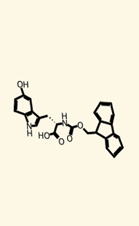 O=C(N[C@@H](Cc1c[nH]c2ccc(O)cc12)C(=O)O)OCC1c2ccccc2-c2ccccc21